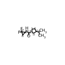 CC(C)C1CCN(C(=O)NC2CC2(F)F)C1